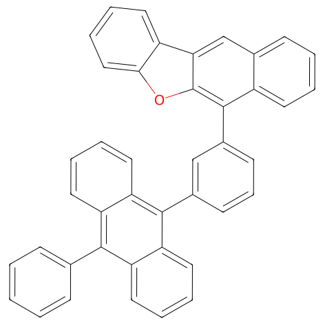 c1ccc(-c2c3ccccc3c(-c3cccc(-c4c5ccccc5cc5c4oc4ccccc45)c3)c3ccccc23)cc1